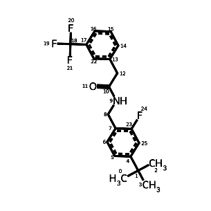 CC(C)(C)c1ccc(CNC(=O)Cc2cccc(C(F)(F)F)c2)c(F)c1